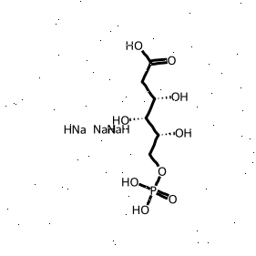 O=C(O)C[C@H](O)[C@@H](O)[C@H](O)COP(=O)(O)O.[NaH].[NaH].[NaH]